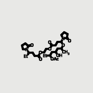 CCC(CC(O)CC(C)OC(CCC(=O)OCCOC(=O)CCC(CC)N1CCCC1=O)N1CCCC1=O)OC(C)=O